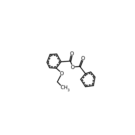 CCOc1ccccc1C(=O)OC(=O)c1ccccc1